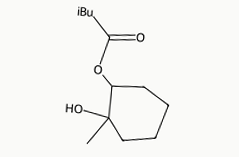 CCC(C)C(=O)OC1CCCCC1(C)O